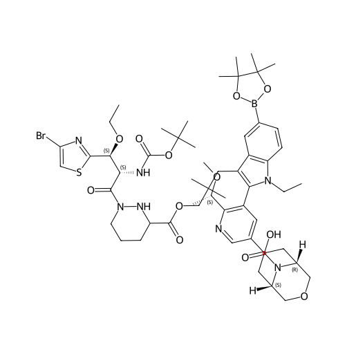 CCO[C@H](c1nc(Br)cs1)[C@H](NC(=O)OC(C)(C)C)C(=O)N1CCCC(C(=O)OCC(C)(C)Cc2c(-c3cc(C4C[C@H]5COC[C@@H](C4)N5C(=O)O)cnc3[C@H](C)OC)n(CC)c3ccc(B4OC(C)(C)C(C)(C)O4)cc23)N1